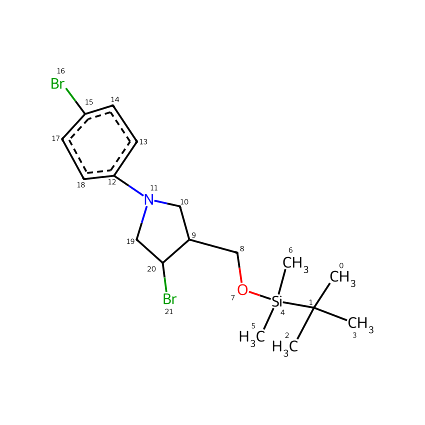 CC(C)(C)[Si](C)(C)OCC1CN(c2ccc(Br)cc2)CC1Br